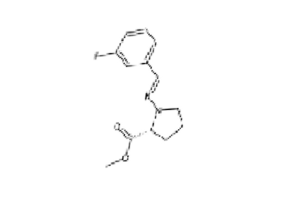 COC(=O)[C@H]1CCCN1/N=C/c1cccc(F)c1